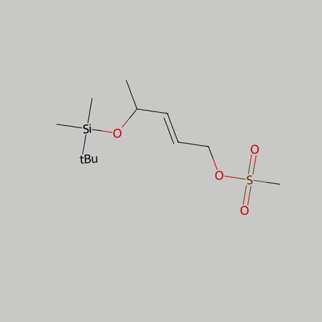 CC(/C=C/COS(C)(=O)=O)O[Si](C)(C)C(C)(C)C